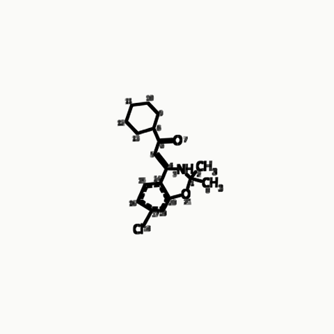 CC1(C)N/C(=C\C(=O)C2CCCCC2)c2ccc(Cl)cc2O1